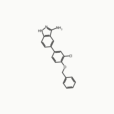 Nc1n[nH]c2ccc(-c3ccc(OCc4ccccc4)c(Cl)c3)cc12